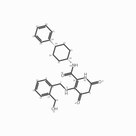 O=C1CC(=O)C(NCc2ccccc2CO)=C(C(=O)N[C@H]2CC[C@@H](c3ccccc3)CC2)N1